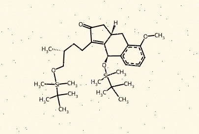 COc1cccc2c1C[C@H]1CC(=O)C(CC[C@@H](C)CO[Si](C)(C)C(C)(C)C)=C1[C@@H]2O[Si](C)(C)C(C)(C)C